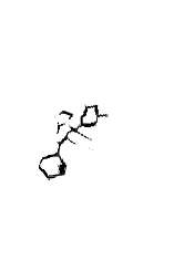 CC(C)C1(c2cc(C(F)(F)F)cc(C(F)(F)F)c2)C(C#N)=C(c2ccccc2)N=C2NC=CN21